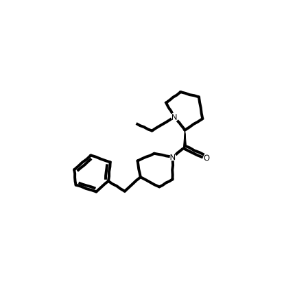 CCN1CCCC[C@H]1C(=O)N1CCC(Cc2ccccc2)CC1